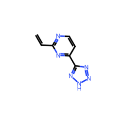 C=Cc1nccc(-c2nn[nH]n2)n1